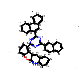 c1ccc2cc(-c3nc(-c4cc5ccccc5c5ccccc45)nc(-c4cccc5oc6nc7ccccc7cc6c45)n3)ccc2c1